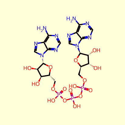 Nc1ncnc2c1ncn2[C@@H]1O[C@H](COP(=O)(O)OP(=O)(O)OP(=O)(O)OC[C@H]2O[C@@H](n3cnc4c(N)ncnc43)[C@H](O)[C@@H]2O)[C@@H](O)[C@H]1O